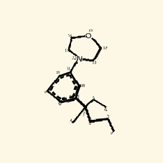 CCCC(C)(CC)c1cccc(N2CCOCC2)c1